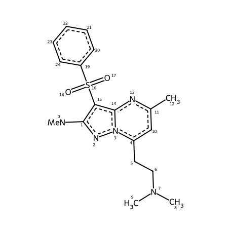 CNc1nn2c(CCN(C)C)cc(C)nc2c1S(=O)(=O)c1ccccc1